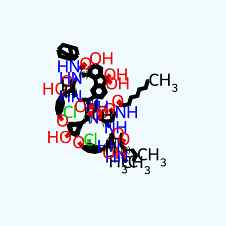 CCCCCCCC(=O)NC(=O)C[C@@H]1NC(=O)[C@H](NC(=O)[C@@H](CC(C)C)NC)[C@H](O)c2ccc(c(Cl)c2)Oc2cc3cc(c2O)Oc2ccc(cc2Cl)[C@@H](O)[C@@H]2NC(=O)[C@H](NC(=O)[C@@H]3NC1=O)c1ccc3c(c1)-c1c(cc(O)cc1C3(O)O)[C@@H](C(=O)NC1C3CC4CC(C3)CC1C4)NC2=O